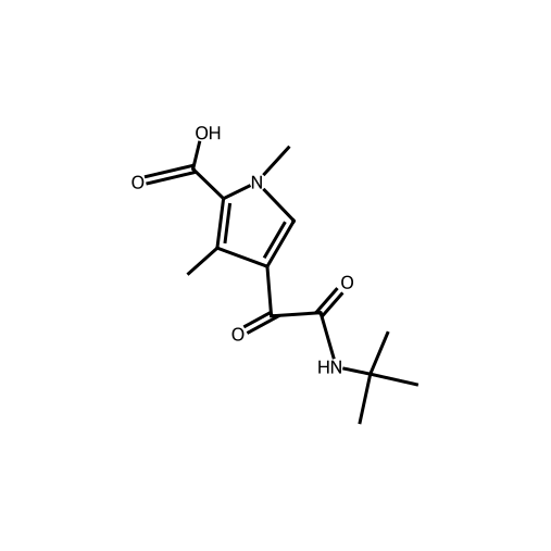 Cc1c(C(=O)C(=O)NC(C)(C)C)cn(C)c1C(=O)O